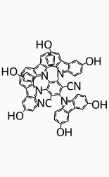 N#Cc1c(-n2c3ccc(O)cc3c3cc(O)ccc32)c(C#N)c(-n2c3ccc(O)cc3c3cc(O)ccc32)c(-n2c3ccccc3c3ccccc32)c1-n1c2ccc(O)cc2c2cc(O)ccc21